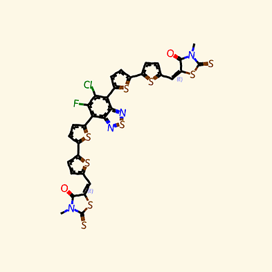 CN1C(=O)/C(=C\c2ccc(-c3ccc(-c4c(F)c(Cl)c(-c5ccc(-c6ccc(/C=C7/SC(=S)N(C)C7=O)s6)s5)c5nsnc45)s3)s2)SC1=S